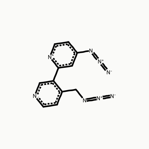 [N-]=[N+]=NCc1ccncc1-c1cc(N=[N+]=[N-])ccn1